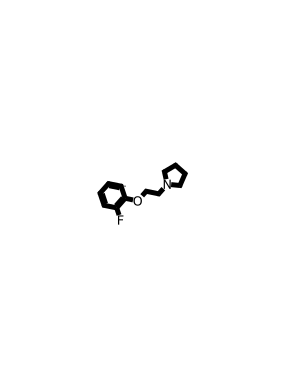 Fc1ccc[c]c1OCCN1CCCC1